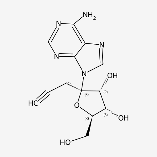 C#CC[C@@]1(n2cnc3c(N)ncnc32)O[C@H](CO)[C@@H](O)[C@H]1O